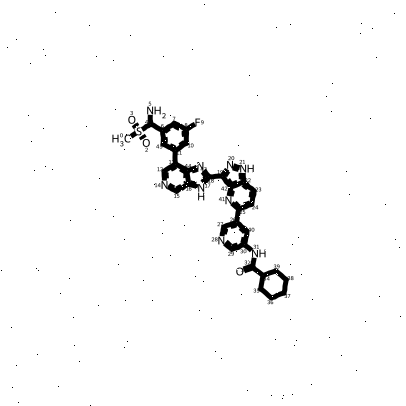 CS(=O)(=O)C(N)c1cc(F)cc(-c2cncc3[nH]c(-c4n[nH]c5ccc(-c6cncc(NC(=O)C7CCCCC7)c6)nc45)nc23)c1